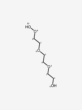 OCCOCCOCCOO